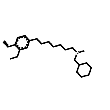 C=Cc1ccc(CCCCCCCN(C)CC2CCCCC2)cc1CC